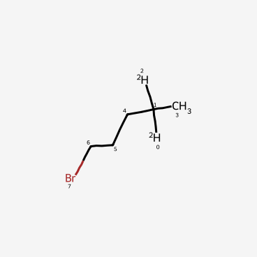 [2H]C([2H])(C)CCCBr